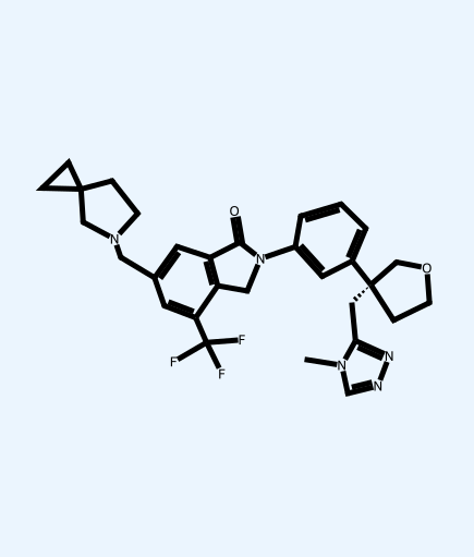 Cn1cnnc1C[C@@]1(c2cccc(N3Cc4c(cc(CN5CCC6(CC6)C5)cc4C(F)(F)F)C3=O)c2)CCOC1